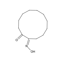 O=C1CCCCCCCCCC/C1=N\O